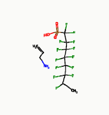 C=CCN.CC(F)C(F)(F)C(F)(F)C(F)(F)C(F)(F)C(F)(F)C(F)(F)S(=O)(=O)O